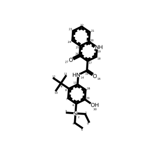 CC[Si](C)(CC)c1cc(C(C)(C)C)c(NC(=O)c2c[nH]c3ccccc3c2=O)cc1O